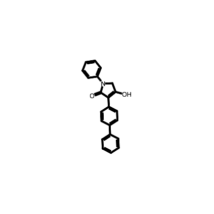 O=C1C(c2ccc(-c3ccccc3)cc2)=C(O)CN1c1ccccc1